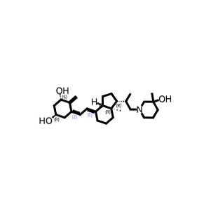 C=C1/C(=C\C=C2/CCC[C@]3(C)[C@@H](C(C)CN4CCCC(C)(O)C4)CC[C@@H]23)C[C@@H](O)C[C@@H]1O